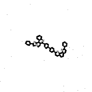 c1ccc(-c2ccc3ccc4ccc(-c5ccc(-c6ccc(-c7nc8ccccc8c8c7ccn7cc(-c9ccccc9)nc87)cc6)cc5)nc4c3n2)cc1